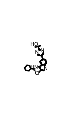 C[C@H](Nc1c(Cl)cnc2ccc(-c3cnc(C(C)(C)O)nc3)cc12)C1CCCCC1